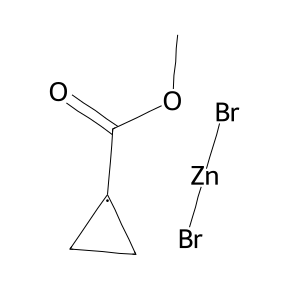 COC(=O)[C]1CC1.[Br][Zn][Br]